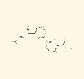 CN(C)C(=O)c1c(N)ccc(-c2cnc3[nH]cc(/C=C/C(=O)O)c3c2)c1F